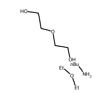 CCCCN.CCOCC.OCCOCCO